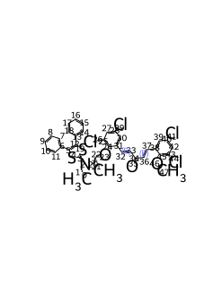 CC[N+](=c1sc(-c2ccccc2)c(-c2ccccc2)s1)C(C)COc1c(Cl)cc(Cl)cc1/C=C/C(=O)/C=C/c1cc(Cl)cc(Cl)c1OC